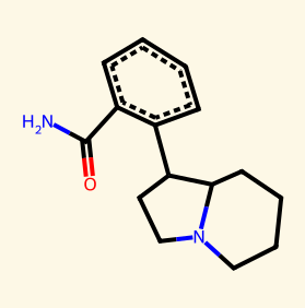 NC(=O)c1ccccc1C1CCN2CCCCC12